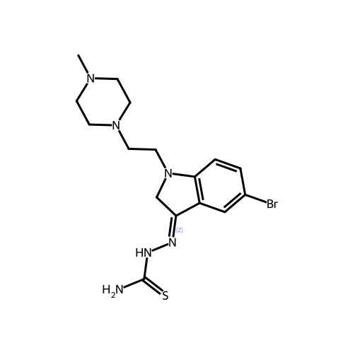 CN1CCN(CCN2C/C(=N\NC(N)=S)c3cc(Br)ccc32)CC1